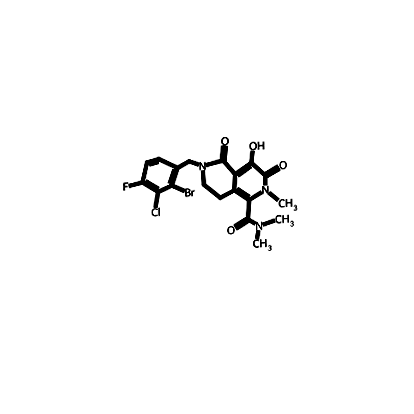 CN(C)C(=O)c1c2c(c(O)c(=O)n1C)C(=O)N(Cc1ccc(F)c(Cl)c1Br)CC2